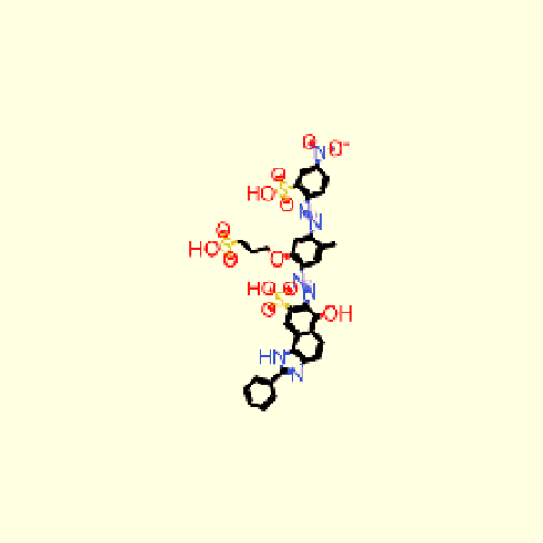 Cc1cc(/N=N/c2c(S(=O)(=O)O)cc3c(ccc4nc(-c5ccccc5)[nH]c43)c2O)c(OCCCS(=O)(=O)O)cc1/N=N/c1ccc([N+](=O)[O-])cc1S(=O)(=O)O